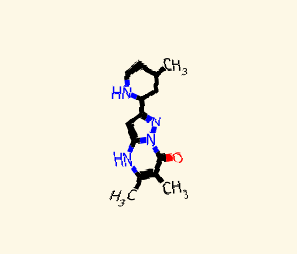 Cc1[nH]c2cc(C3CC(C)CCN3)nn2c(=O)c1C